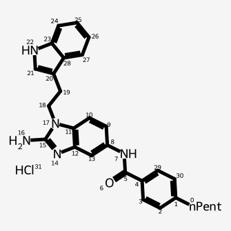 CCCCCc1ccc(C(=O)Nc2ccc3c(c2)nc(N)n3CCc2c[nH]c3ccccc23)cc1.Cl